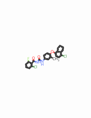 Cc1cc(NC(=O)NC(=O)c2c(F)cccc2Cl)ccc1Oc1ccc(Cl)c2ccccc12